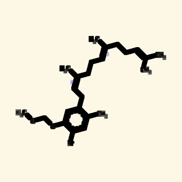 COCOc1cc(C/C=C(/C)CC/C=C(\C)CCC=C(C)C)c(C)cc1Br